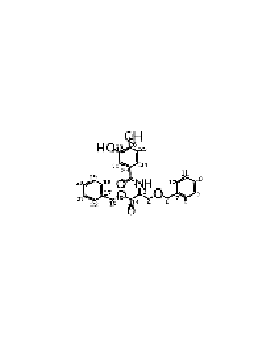 O=C(N[C@@H](COCc1ccccc1)C(=O)OCc1ccccc1)c1ccc(O)c(O)c1